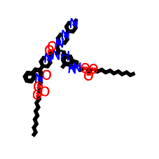 CCCCCCCCCCOC(=O)OCn1cc2cc(C[C@@H](NC(=O)N3CCC(c4cc5ccccc5n(COC(=O)OCCCCCCCCCC)c4=O)CC3)C(=O)N3CCN(C4CCN(C)CC4)CC3)cc(C)c2n1